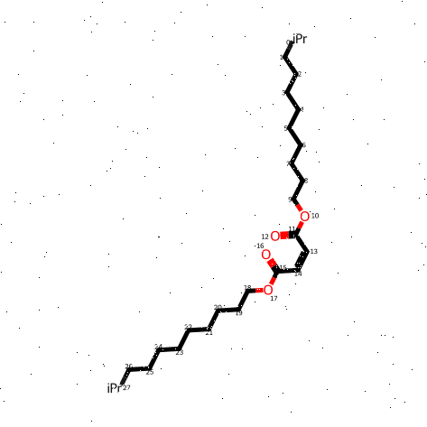 CC(C)CCCCCCCCCOC(=O)/C=C\C(=O)OCCCCCCCCCC(C)C